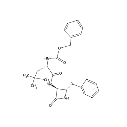 CC(C)(C)C[C@H](NC(=O)OCc1ccccc1)C(=O)N[C@@H]1C(=O)N[C@H]1Oc1ccccc1